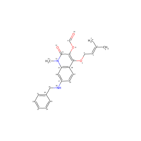 CC(C)=CCOc1c(OC=O)c(=O)n(C)c2cc(NCc3ccccc3)ccc12